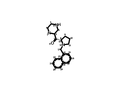 O=C(C1CNCC[N]1)[C@@H]1CCCN1Cc1cccc2ccccc12